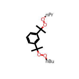 CCCCOOC(C)(C)c1cccc(C(C)(C)OOCCC)c1